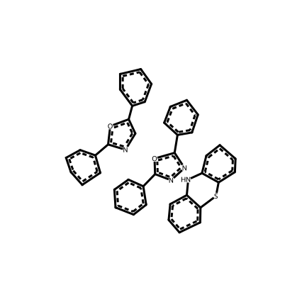 c1ccc(-c2cnc(-c3ccccc3)o2)cc1.c1ccc(-c2nnc(-c3ccccc3)o2)cc1.c1ccc2c(c1)Nc1ccccc1S2